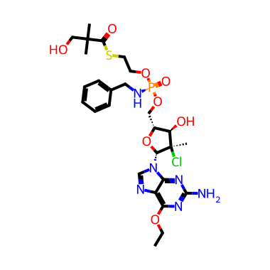 CCOc1nc(N)nc2c1ncn2[C@@H]1O[C@H](CO[P@](=O)(NCc2ccccc2)OCCSC(=O)C(C)(C)CO)[C@@H](O)[C@@]1(C)Cl